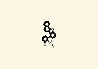 C[S+]([O-])c1c(Cl)cccc1-c1cccc2oc3c4ccccc4ccc3c12